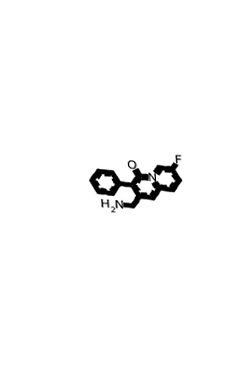 NCc1cc2ccc(F)cn2c(=O)c1-c1ccccc1